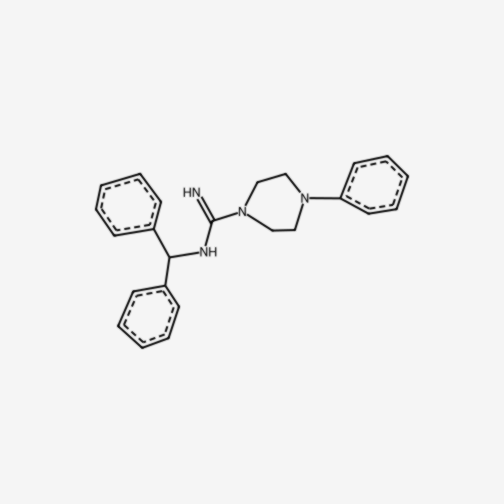 N=C(NC(c1ccccc1)c1ccccc1)N1CCN(c2ccccc2)CC1